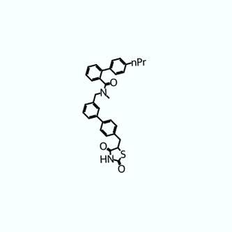 CCCc1ccc(-c2ccccc2C(=O)N(C)Cc2cccc(-c3ccc(CC4SC(=O)NC4=O)cc3)c2)cc1